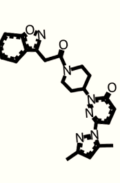 Cc1cc(C)n(-c2ccc(=O)n(C3CCN(C(=O)Cc4noc5ccccc45)CC3)n2)n1